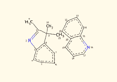 CC1=Nc2ccccc2C1(C)C.c1ccc2ncccc2c1